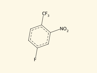 O=[N+]([O-])c1cc(F)ccc1C(F)(F)F